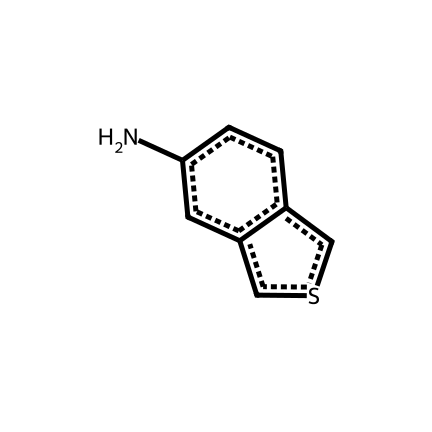 Nc1ccc2cscc2c1